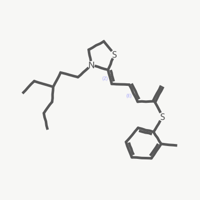 C=C(/C=C/C=C1\SCCN1CCC(CC)CCC)Sc1ccccc1C